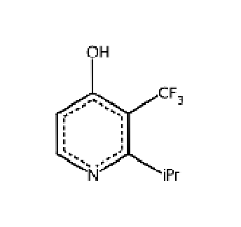 CC(C)c1nccc(O)c1C(F)(F)F